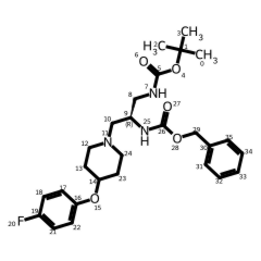 CC(C)(C)OC(=O)NC[C@H](CN1CCC(Oc2ccc(F)cc2)CC1)NC(=O)OCc1ccccc1